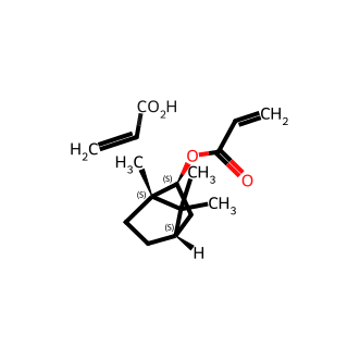 C=CC(=O)O.C=CC(=O)O[C@H]1C[C@@H]2CC[C@@]1(C)C2(C)C